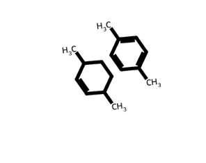 CC1C=CC(C)CC1.Cc1ccc(C)cc1